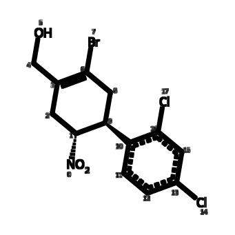 O=[N+]([O-])[C@@H]1CC(CO)=C(Br)C[C@H]1c1ccc(Cl)cc1Cl